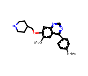 COc1cc2c(-c3ccc(NC(C)=O)cc3)ncnc2cc1OCC1CCNCC1